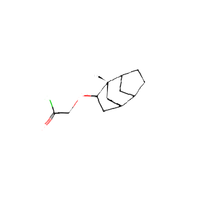 O=C(Cl)COC1CC23CC2[C@H]1C1CCC3C1